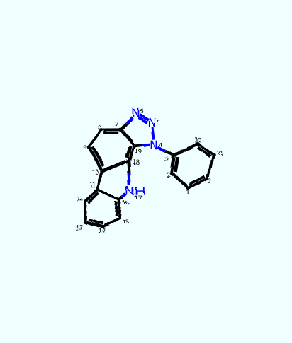 c1ccc(-n2nnc3ccc4c5ccccc5[nH]c4c32)cc1